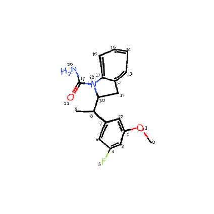 COc1cc(F)cc(C(C)C2Cc3ccccc3N2C(N)=O)c1